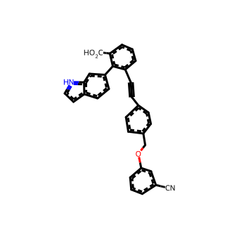 N#Cc1cccc(OCc2ccc(C#Cc3cccc(C(=O)O)c3-c3ccc4cc[nH]c4c3)cc2)c1